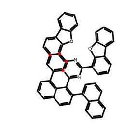 c1ccc(-c2cccc3ccc(-c4cccc5ccccc45)c(-c4nc(-c5cccc6c5oc5ccccc56)nc(-c5cccc6c5oc5ccccc56)n4)c23)cc1